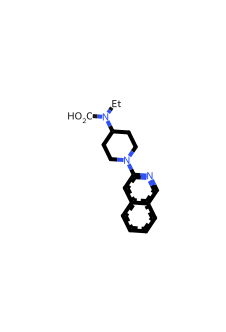 CCN(C(=O)O)C1CCN(c2cc3ccccc3cn2)CC1